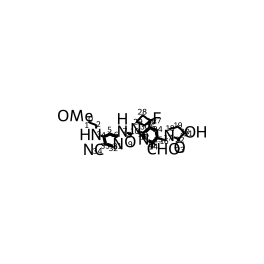 COCCNc1cc(NC(=O)N2c3nc(C=O)c(CN4CCC(O)C4=O)cc3C3(F)CC2C3)ncc1C#N